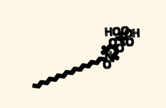 CCCCCCCCCCCCCCCCCC(=O)N1C(C)(C)CC2(CC1(C)C)OCC(C(=O)O)(C(=O)O)CO2